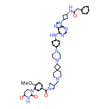 COc1ccc(C(=O)N2CC(CN3CCC4(CC3)CC(N3CCN(c5ccc(Nc6ncnc7c6ncn7C6CC(NC(=O)Cc7ccccc7)C6)cc5)CC3)C4)C2)cc1N1CCC(=O)NC1=O